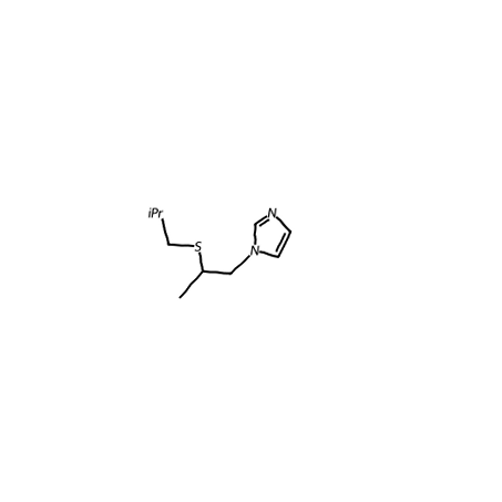 CC(C)CSC(C)Cn1ccnc1